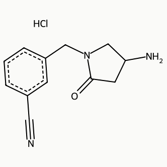 Cl.N#Cc1cccc(CN2CC(N)CC2=O)c1